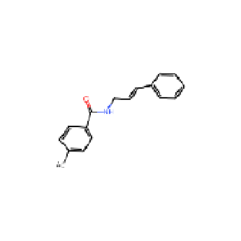 CC(=O)c1ccc(C(=O)NCC=Cc2ccccc2)cc1